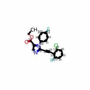 CCOC(=O)c1cnc(C#Cc2c(F)cccc2Cl)n1-c1ccc(F)cc1